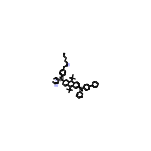 C=CCC/C=C\Cc1ccc(N(C(/C=C\C)=C/C)C2CC=C3C(C(C)(C)C)=C4C=C(N(C5=CC=C(C6C=CC=CC6)CC5)C5C=CC=CC5)C=CC4C(C(C)(C)C)C3C2)cc1